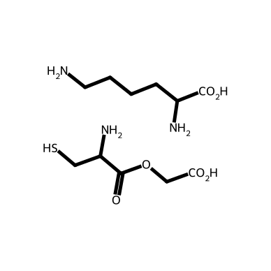 NC(CS)C(=O)OCC(=O)O.NCCCCC(N)C(=O)O